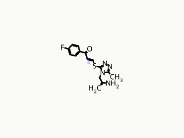 C=C(N)Cn1c(C)nnc1S/C=C/C(=O)c1ccc(F)cc1